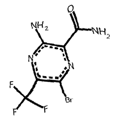 NC(=O)c1nc(Br)c(C(F)(F)F)nc1N